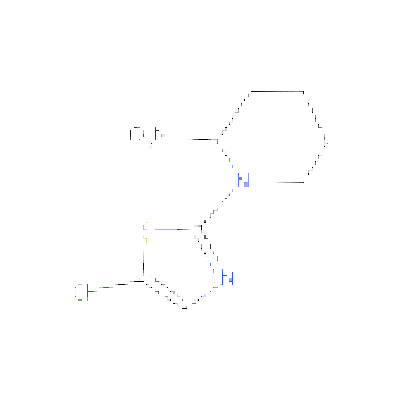 O=[N+]([O-])C1CCCCN1c1ncc(Cl)s1